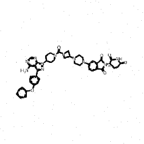 Nc1ncnc2c1c(-c1ccc(Oc3ccccc3)cc1)nn2C1CCN(C(=O)N2CC(N3CCN(c4ccc5c(c4)C(=O)N([C@@H]4CCC(=O)NC4=O)C5=O)CC3)C2)CC1